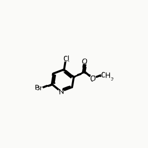 COC(=O)c1cnc(Br)cc1Cl